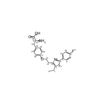 CCc1sc(-c2ccc(F)cc2)nc1CCOc1ccc(C[C@H](N)C(=O)O)cc1